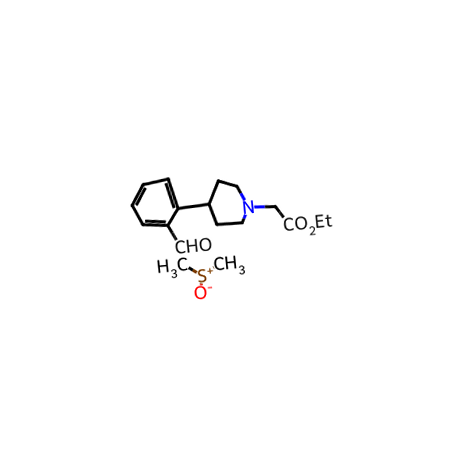 CCOC(=O)CN1CCC(c2ccccc2C=O)CC1.C[S+](C)[O-]